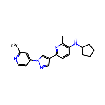 CCCc1cc(-n2cc(-c3ccc(NC4CCCC4)c(C)n3)cn2)ccn1